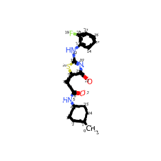 CC1CCC(NC(=O)CC2SC(Nc3ccccc3F)=NC2=O)CC1